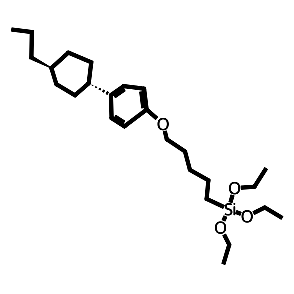 CCC[C@H]1CC[C@H](c2ccc(OCCCCC[Si](OCC)(OCC)OCC)cc2)CC1